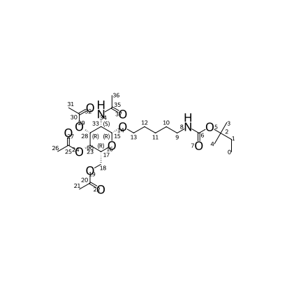 CCC(C)(C)OC(=O)NCCCCCO[C@@H]1O[C@H](COC(C)=O)[C@H](OC(C)=O)[C@H](OC(C)=O)[C@@H]1NC(C)=O